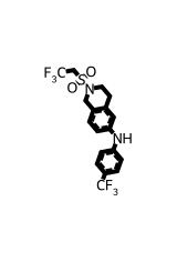 O=S(=O)(CC(F)(F)F)N1CCc2cc(Nc3ccc(C(F)(F)F)cc3)ccc2C1